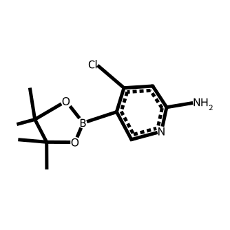 CC1(C)OB(c2cnc(N)cc2Cl)OC1(C)C